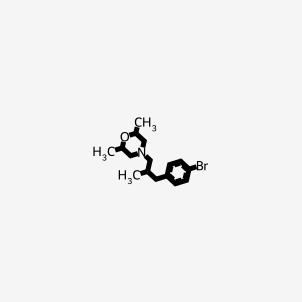 CC(Cc1ccc(Br)cc1)CN1CC(C)OC(C)C1